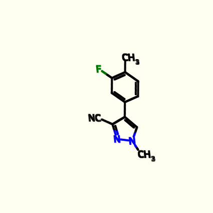 Cc1ccc(-c2cn(C)nc2C#N)cc1F